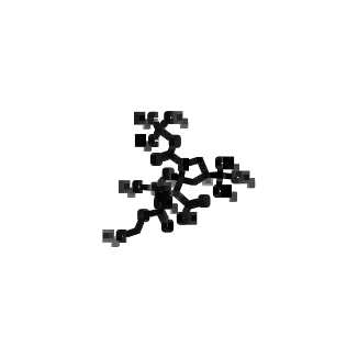 CCOC(=O)CC(C(=O)O)[C@@]1(O[SiH](C)C)C[C@H](C(C)(C)C)CN1C(=O)OC(C)(C)C